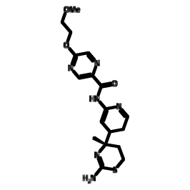 COCCOc1cnc(C(=O)NC2=CC([C@]3(C)CCSC(N)=N3)CC=N2)cn1